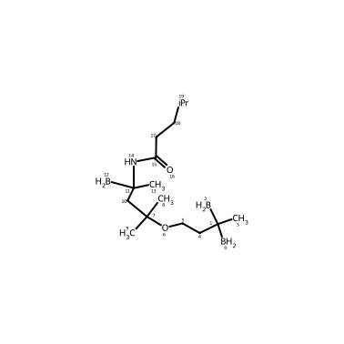 BC(B)(C)CCOC(C)(C)CC(B)(C)NC(=O)CCC(C)C